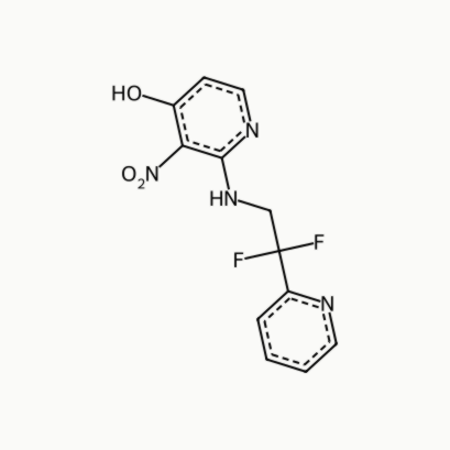 O=[N+]([O-])c1c(O)ccnc1NCC(F)(F)c1ccccn1